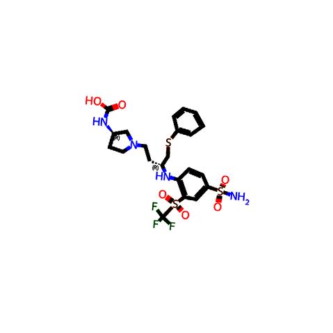 NS(=O)(=O)c1ccc(N[C@H](CCN2CC[C@@H](NC(=O)O)C2)CSc2ccccc2)c(S(=O)(=O)C(F)(F)F)c1